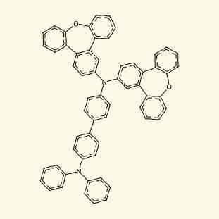 c1ccc(N(c2ccccc2)c2ccc(-c3ccc(N(c4ccc5c(c4)-c4ccccc4Oc4ccccc4-5)c4ccc5c(c4)-c4ccccc4Oc4ccccc4-5)cc3)cc2)cc1